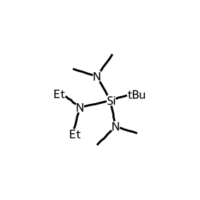 CCN(CC)[Si](N(C)C)(N(C)C)C(C)(C)C